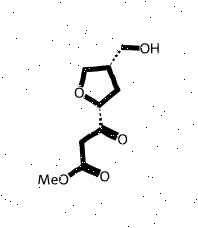 COC(=O)CC(=O)[C@H]1C[C@@H](CO)CO1